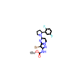 CC(C)(C)OC(=O)Nc1nn2ccc(N3CCCC3c3cc(F)ccc3F)nc2c1Br